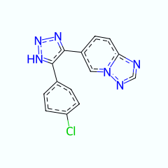 Clc1ccc(-c2[nH]nnc2-c2ccc3ncnn3c2)cc1